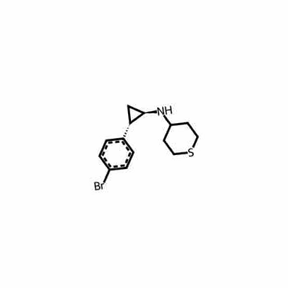 Brc1ccc([C@@H]2C[C@H]2NC2CCSCC2)cc1